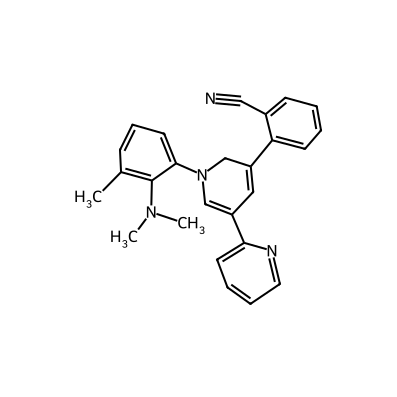 Cc1cccc(N2C=C(c3ccccn3)C=C(c3ccccc3C#N)C2)c1N(C)C